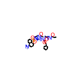 C=CC(=O)NCCC[C@H](NC(=O)OCc1ccccc1)C(=O)N1CCN(S(=O)(=O)c2cccc3c(N(C)C)cccc23)CC1